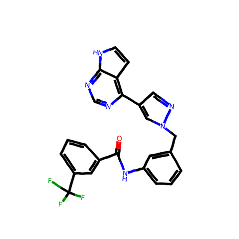 O=C(Nc1cccc(Cn2cc(-c3ncnc4[nH]ccc34)cn2)c1)c1cccc(C(F)(F)F)c1